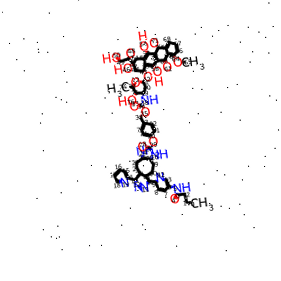 CCCC(=O)Nc1ccc(C2=NN=C(c3ccccn3)C3CCC(N)C(NC(=O)Oc4ccc(COC(=O)NC5CC(OC6C[C@](O)(C(=O)CO)Cc7c(O)c8c(c(O)c76)C(=O)c6c(OC)cccc6C8=O)OC(C)C5O)cc4)CCC23)nc1